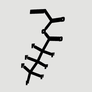 C=CC(=O)OC(=O)C(F)(F)C(F)(F)C(F)(F)F